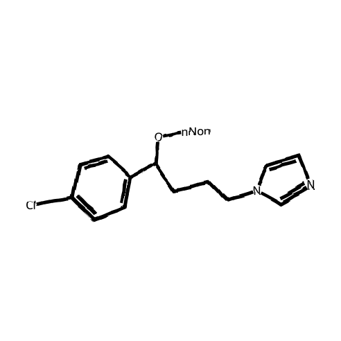 CCCCCCCCCOC(CCCn1ccnc1)c1ccc(Cl)cc1